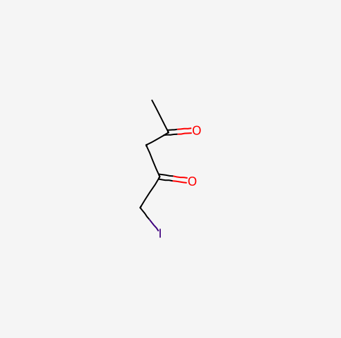 CC(=O)CC(=O)CI